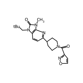 Cn1c(=O)n(CC(C)(C)C)c2ccc(C3CCN(C(=O)c4ccon4)CC3)nc21